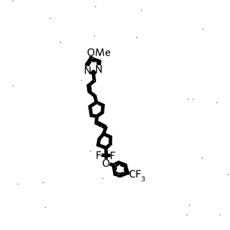 COc1cnc(C/C=C\CC2CCC(/C=C/C3CCC(C(F)(F)Oc4ccc(C(F)(F)F)cc4)CC3)CC2)nc1